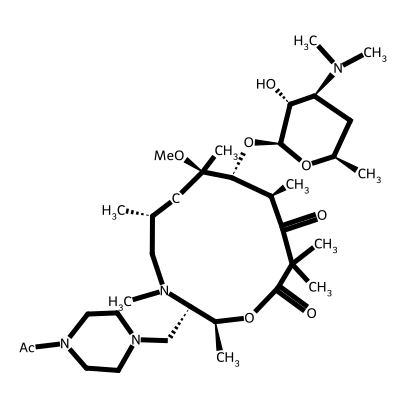 CO[C@]1(C)C[C@@H](C)CN(C)[C@@H](CN2CCN(C(C)=O)CC2)[C@H](C)OC(=O)C(C)(C)C(=O)[C@H](C)[C@H]1O[C@@H]1O[C@H](C)C[C@H](N(C)C)[C@H]1O